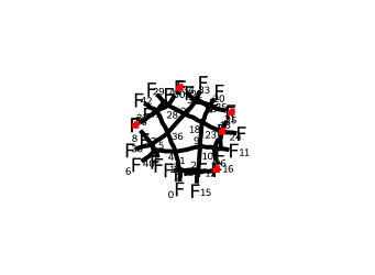 FC(F)(F)C1(C(F)(F)F)C(C(F)(F)F)(C(F)(F)F)C(C(F)(F)F)(C(F)(F)F)C(C(F)(F)F)(C(F)(F)F)C1(C(F)(F)F)C(F)(F)F